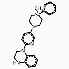 C[Si]1(c2ccccc2)CCN(c2ccc(N3CCNc4ccccc43)nc2)CC1